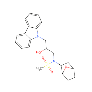 CS(=O)(=O)N(CC(O)Cn1c2ccccc2c2ccccc21)C1CC2CCC1O2